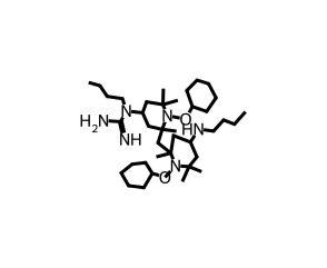 CCCCNC1CC(C)(C)N(OC2CCCCC2)C(C)(CC2(C)CC(N(CCCC)C(=N)N)CC(C)(C)N2OC2CCCCC2)C1